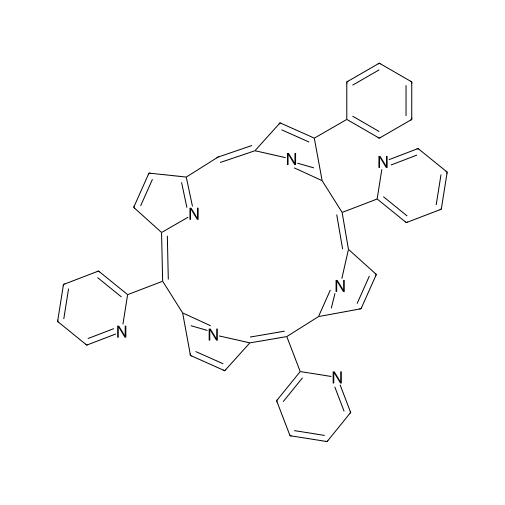 C1=CC2=C(c3ccccn3)C3=NC(=C(c4ccccn4)C4=NC(=C(c5ccccn5)C5=NC(=CC1=N2)C=C5c1ccccc1)C=C4)C=C3